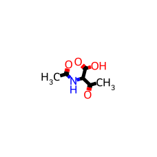 CC(=O)NC(C(C)=O)C(=O)O